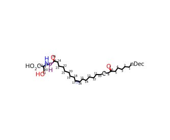 CCCCCCCCCCCCCCCC(=O)CCCCCCCC/C=C\CCCCCCCC(=O)PNC(CO)C(=O)O